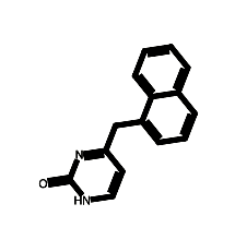 O=c1nc(Cc2cccc3ccccc23)cc[nH]1